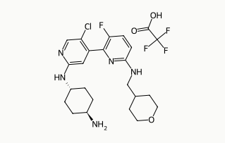 N[C@H]1CC[C@H](Nc2cc(-c3nc(NCC4CCOCC4)ccc3F)c(Cl)cn2)CC1.O=C(O)C(F)(F)F